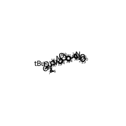 CC(C)(C)OC(=O)N(C1CC1)C1CCN(c2ccc3c(n2)OCc2cc(-c4cnn(C5CCCCO5)c4)ccc2-3)C1